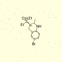 CC[SH](=O)(CC)[C@@H]1Cc2cc(Br)ccc2NC1C